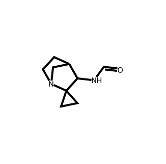 O=CNC1C2CCN(C2)C12CC2